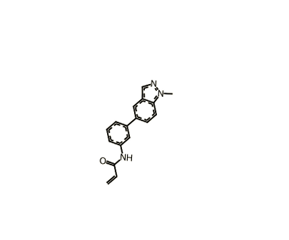 C=CC(=O)Nc1cccc(-c2ccc3c(cnn3C)c2)c1